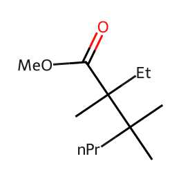 CCCC(C)(C)C(C)(CC)C(=O)OC